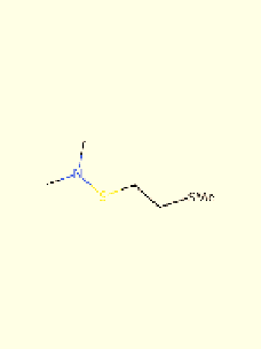 CSCCSN(C)C